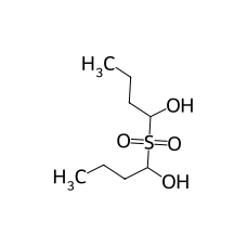 CCCC(O)S(=O)(=O)C(O)CCC